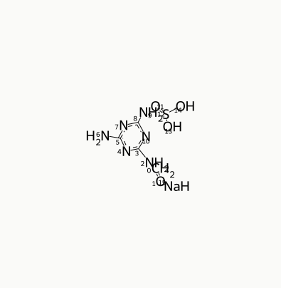 C=O.Nc1nc(N)nc(N)n1.O=S(O)O.[NaH]